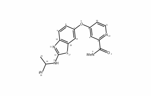 CNC(=O)c1cc(Oc2ccc3nc(NC(C)C(C)C)sc3c2)ccn1